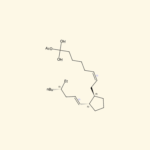 CCCC[C@H](CC)C/C=C/[C@H]1CCC[C@@H]1C/C=C\CCCCC(O)(O)OC(C)=O